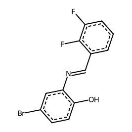 Oc1ccc(Br)cc1/N=C/c1cccc(F)c1F